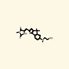 CN1C(=S)N/C(=C\c2cc3c(s2)-c2ccc(N(C)CCO)cc2C3(C)C)C1=S